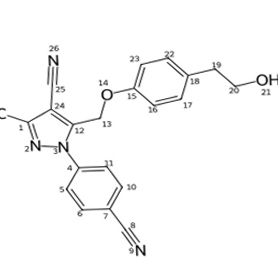 Cc1nn(-c2ccc(C#N)cc2)c(COc2ccc(CCO)cc2)c1C#N